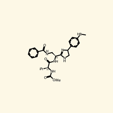 CBc1ccc(C2CNC([C@H](CNC(=O)c3ccccc3)NC(=O)[C@@H](NC(=O)OC)C(C)C)=N2)cc1